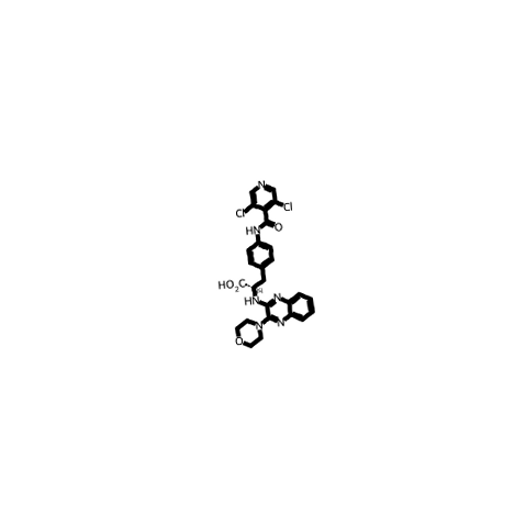 O=C(Nc1ccc(C[C@H](Nc2nc3ccccc3nc2N2CCOCC2)C(=O)O)cc1)c1c(Cl)cncc1Cl